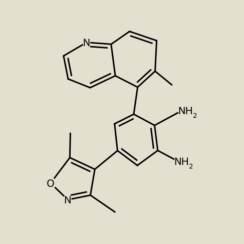 Cc1ccc2ncccc2c1-c1cc(-c2c(C)noc2C)cc(N)c1N